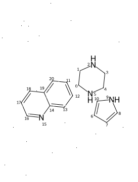 C1CNCCN1.c1cc[nH]c1.c1ccc2ncccc2c1